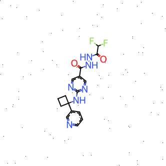 O=C(NNC(=O)C(F)F)c1cnc(NC2(c3cccnc3)CCC2)nc1